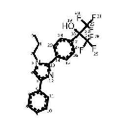 CCCn1cc(-c2ccccc2)nc1-c1ccc(C(O)(C(F)(F)F)C(F)(F)F)cc1